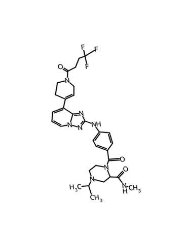 CNC(=O)C1CN(C(C)C)CCN1C(=O)c1ccc(Nc2nc3c(C4=CCN(C(=O)CCC(F)(F)F)CC4)cccn3n2)cc1